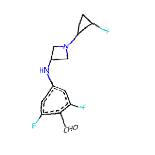 O=Cc1c(F)cc(NC2CN(C3CC3F)C2)cc1F